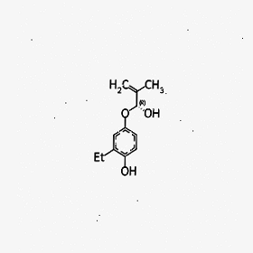 C=C(C)[C@H](O)Oc1ccc(O)c(CC)c1